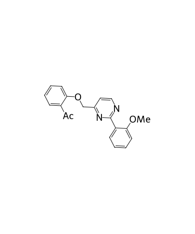 COc1ccccc1-c1nccc(COc2ccccc2C(C)=O)n1